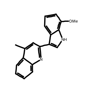 COc1cccc2c(-c3cc(C)c4ccccc4n3)c[nH]c12